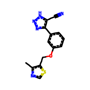 Cc1ncsc1COc1cccc(-c2nn[nH]c2C#N)c1